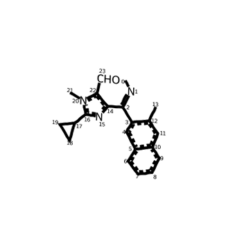 C/N=C(/c1cc2ccccc2cc1C)c1nc(C2CC2)n(C)c1C=O